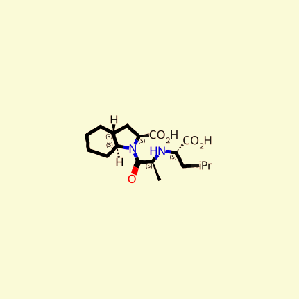 CC(C)C[C@H](N[C@@H](C)C(=O)N1[C@H](C(=O)O)C[C@H]2CCCC[C@@H]21)C(=O)O